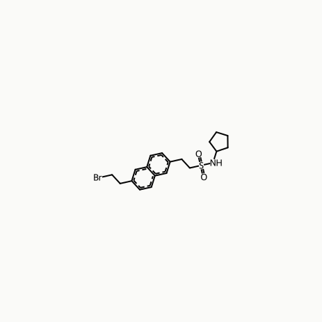 O=S(=O)(CCc1ccc2cc(CCBr)ccc2c1)NC1CCCC1